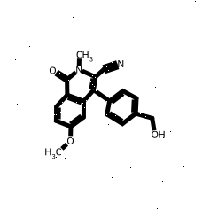 COc1ccc2c(=O)n(C)c(C#N)c(-c3ccc(CO)cc3)c2c1